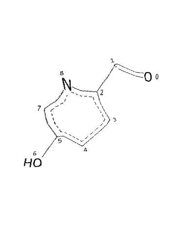 O=[C]c1ccc(O)cn1